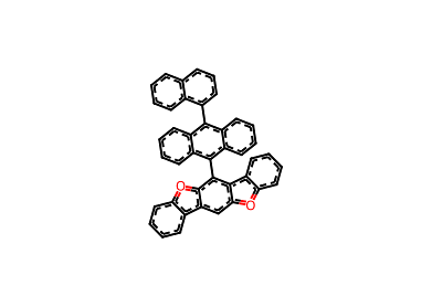 c1ccc2c(-c3c4ccccc4c(-c4c5oc6ccccc6c5cc5oc6ccccc6c45)c4ccccc34)cccc2c1